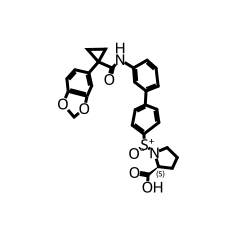 O=C(O)[C@@H]1CCCN1[S+]([O-])c1ccc(-c2cccc(NC(=O)C3(c4ccc5c(c4)OCO5)CC3)c2)cc1